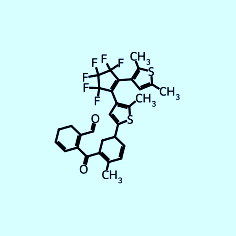 CC1=C(C(=O)C2=C(C=O)CCC=C2)CC(c2cc(C3=C(c4cc(C)sc4C)C(F)(F)C(F)(F)C3(F)F)c(C)s2)C=C1